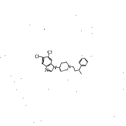 CC(CCN1CCC(n2cnc3cc(Cl)c(Cl)cc32)CC1)c1ccccc1